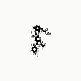 Cc1ccc(CNC(=O)C(C)(C)C)c(C)c1Nc1nc2nc(OCC(F)F)c(C(=O)NC3CCC(C(F)(F)F)CC3)cc2[nH]1